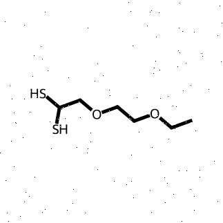 CCOCCOCC(S)S